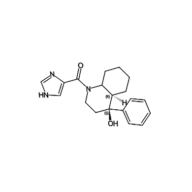 O=C(c1c[nH]cn1)N1CC[C@@](O)(c2ccccc2)[C@@H]2CCCCC21